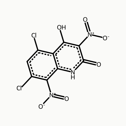 O=c1[nH]c2c([N+](=O)[O-])c(Cl)cc(Cl)c2c(O)c1[N+](=O)[O-]